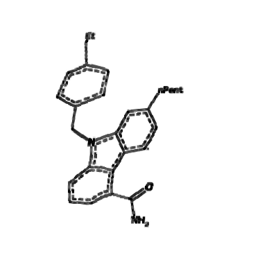 CCCCCc1c[c]c2c3c(C(N)=O)cccc3n(Cc3ccc(CC)cc3)c2c1